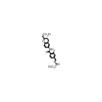 CCOC(=O)CC1CCc2cc(NC(=O)c3ccc(C=NNC(=O)OCC)cc3F)ccc2O1